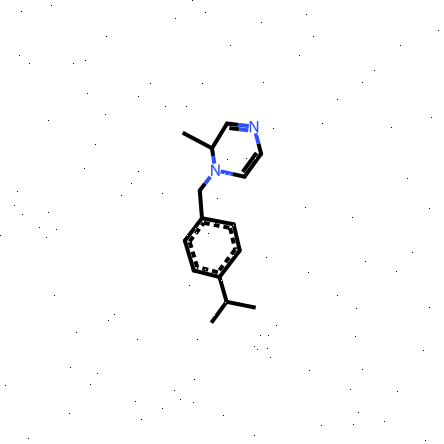 CC(C)c1ccc(CN2C=CN=CC2C)cc1